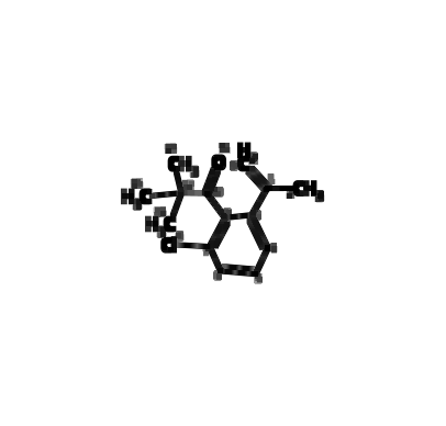 C=C(C)c1cccc(Cl)c1C(=O)C(C)(C)C